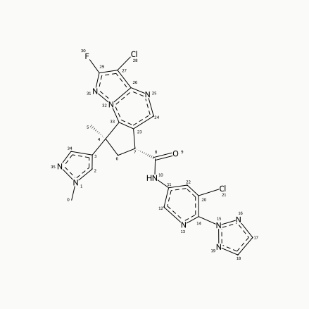 Cn1cc([C@]2(C)C[C@@H](C(=O)Nc3cnc(-n4nccn4)c(Cl)c3)c3cnc4c(Cl)c(F)nn4c32)cn1